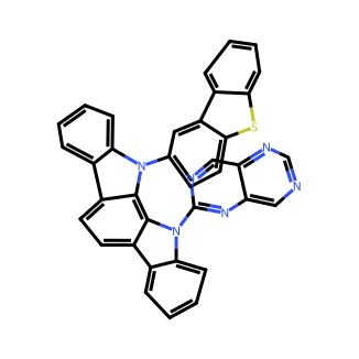 c1ccc2c(c1)sc1ccc(-n3c4ccccc4c4ccc5c6ccccc6n(-c6ncc7ncncc7n6)c5c43)cc12